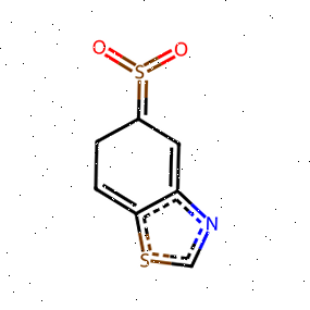 O=S(=O)=C1C=c2ncsc2=CC1